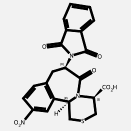 O=C(O)[C@H]1CSC[C@H]2c3cc([N+](=O)[O-])ccc3C[C@@H](N3C(=O)c4ccccc4C3=O)C(=O)N12